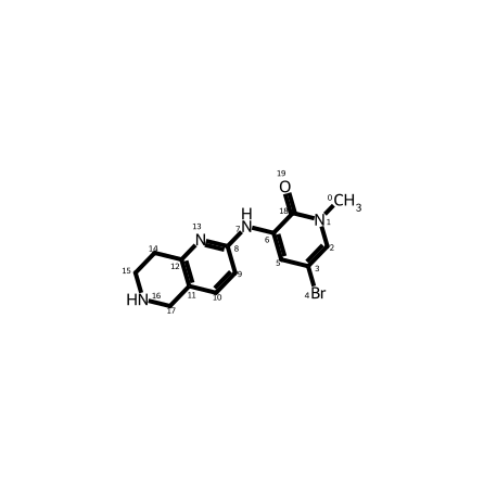 Cn1cc(Br)cc(Nc2ccc3c(n2)CCNC3)c1=O